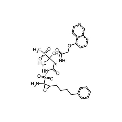 CC(C)([C@H](NC(=O)COc1cccc2cnccc12)C(=O)NS(=O)(=O)C1(N)OC1CCCCc1ccccc1)S(C)(=O)=O